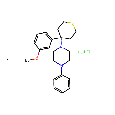 CCOc1cccc(C2(N3CCN(c4ccccc4)CC3)CCSCC2)c1.Cl.Cl